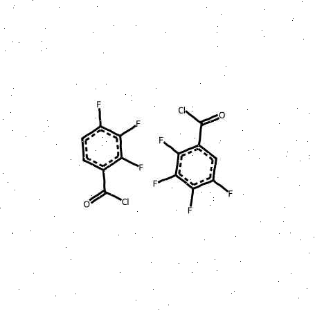 O=C(Cl)c1cc(F)c(F)c(F)c1F.O=C(Cl)c1ccc(F)c(F)c1F